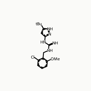 COc1cccc(Cl)c1CNC(=N)Nc1cc(C(C)(C)C)[nH]n1